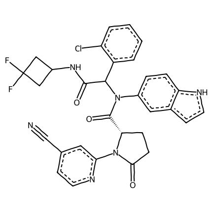 N#Cc1ccnc(N2C(=O)CC[C@H]2C(=O)N(c2ccc3[nH]ccc3c2)C(C(=O)NC2CC(F)(F)C2)c2ccccc2Cl)c1